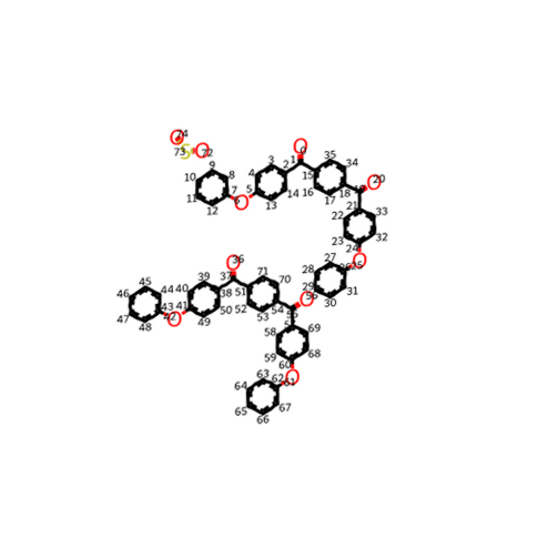 O=C(c1ccc(Oc2ccccc2)cc1)c1ccc(C(=O)c2ccc(Oc3ccccc3)cc2)cc1.O=C(c1ccc(Oc2ccccc2)cc1)c1ccc(C(=O)c2ccc(Oc3ccccc3)cc2)cc1.O=S=O